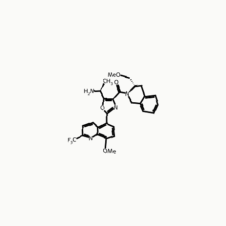 COC[C@@H]1Cc2ccccc2CN1C(=O)c1nc(-c2ccc(OC)c3nc(C(F)(F)F)ccc23)oc1[C@H](C)N